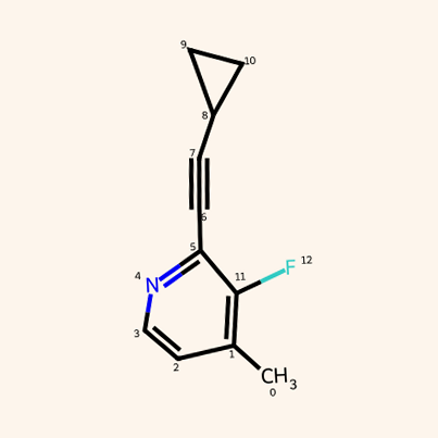 Cc1ccnc(C#CC2CC2)c1F